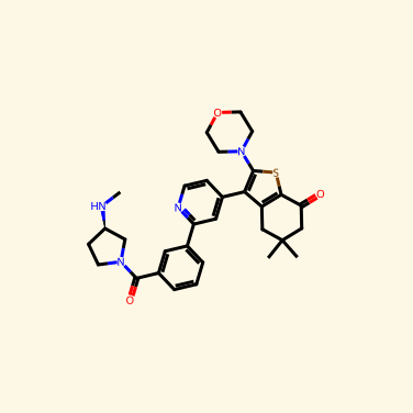 CN[C@@H]1CCN(C(=O)c2cccc(-c3cc(-c4c(N5CCOCC5)sc5c4CC(C)(C)CC5=O)ccn3)c2)C1